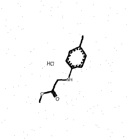 COC(=O)CNc1ccc(C)cc1.Cl